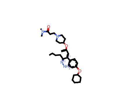 C=C(/C=C(\C(CCCC)=N/N)c1ccc(OC2CCCCC2)cc1)OC1CCN(CCC(=O)N(C)C)CC1